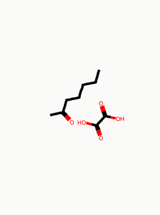 CCCCCC(C)=O.O=C(O)C(=O)O